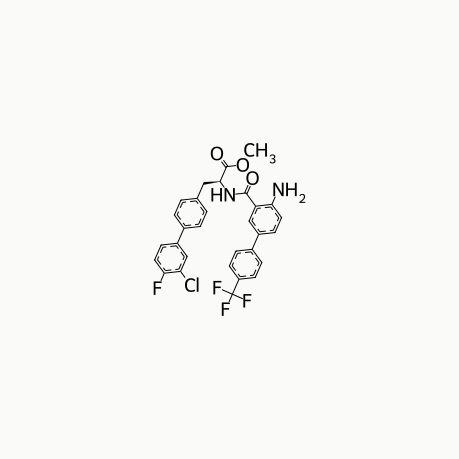 COC(=O)[C@H](Cc1ccc(-c2ccc(F)c(Cl)c2)cc1)NC(=O)c1cc(-c2ccc(C(F)(F)F)cc2)ccc1N